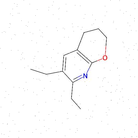 CCc1cc2c(nc1CC)OCCC2